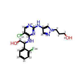 OCCCn1cc(Nc2ncc(Cl)c(NC(CO)c3ccccc3F)n2)cn1